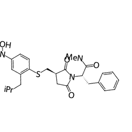 CNC(=O)[C@H](Cc1ccccc1)N1C(=O)C[C@@H](CSc2ccc(NO)cc2CC(C)C)C1=O